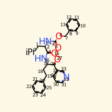 CC(C)CC(NC(=O)OCc1ccccc1)C(=O)NC(CCc1ccccc1)C(=O)c1cccnc1